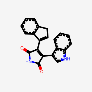 O=C1NC(=O)C(c2c[nH]c3ccccc23)=C1C1=CCc2ccccc21